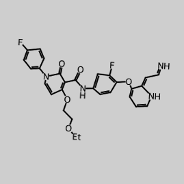 CCOCCOc1ccn(-c2ccc(F)cc2)c(=O)c1C(=O)Nc1ccc(OC2=CC=CN/C2=C\C=N)c(F)c1